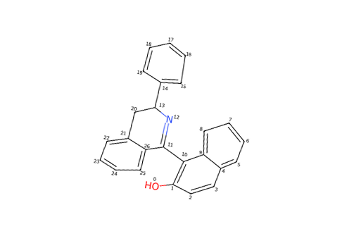 Oc1ccc2ccccc2c1C1=NC(c2ccccc2)Cc2ccccc21